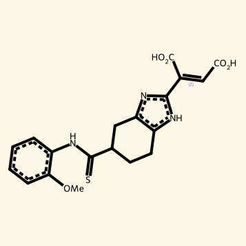 COc1ccccc1NC(=S)C1CCc2[nH]c(/C(=C/C(=O)O)C(=O)O)nc2C1